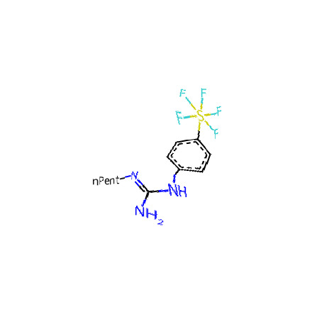 CCCCCN=C(N)Nc1ccc(S(F)(F)(F)(F)F)cc1